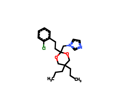 CCCC1(CCC)COC(CCc2ccccc2Cl)(Cn2ccnc2)OC1